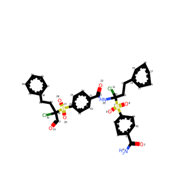 NC(=O)c1ccc(S(=O)(=O)C(Cl)(CCc2ccccc2)NC(=O)c2ccc(S(=O)(=O)C(Cl)(C=O)CCc3ccccc3)cc2)cc1